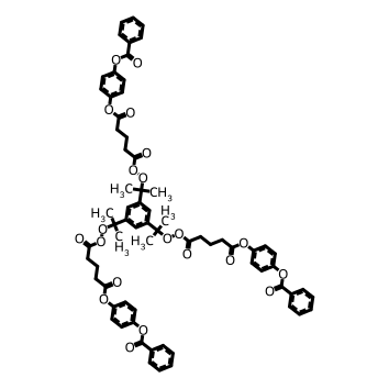 CC(C)(OOC(=O)CCCC(=O)Oc1ccc(OC(=O)c2ccccc2)cc1)c1cc(C(C)(C)OOC(=O)CCCC(=O)Oc2ccc(OC(=O)c3ccccc3)cc2)cc(C(C)(C)OOC(=O)CCCC(=O)Oc2ccc(OC(=O)c3ccccc3)cc2)c1